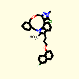 Cc1c2c(nn1C)COCc1ccccc1Cn1c(C(=O)O)c(CCCOc3cccc4cc(F)ccc34)c3ccc(Cl)c-2c31